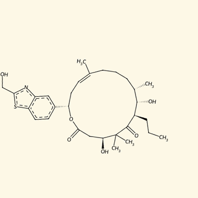 CCC[C@H]1C(=O)C(C)(C)[C@@H](O)CC(=O)O[C@H](c2ccc3sc(CO)nc3c2)CC=C(C)CCC[C@H](C)[C@@H]1O